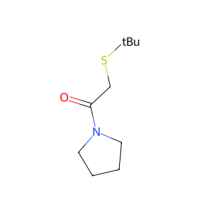 CC(C)(C)SCC(=O)N1CCCC1